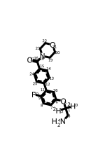 [2H]C([2H])(CN)Oc1ccc(F)c(-c2ccc(C(=O)N3CCOCC3)cc2)c1